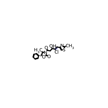 Cc1nc(/C=C(\Cl)[C@@H](O)CC(=O)N2C(=O)O[C@H](c3ccccc3)[C@@H]2C)cs1